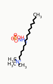 CCCCCCCCCCCCCCCCCC[N+](C)(C)C.N.O=S(=O)([O-])O